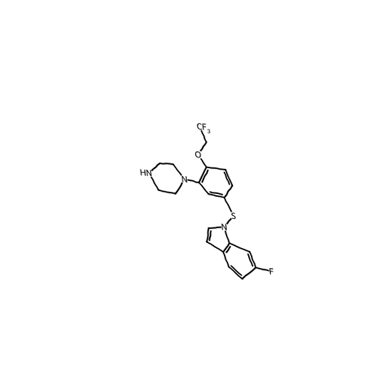 Fc1ccc2ccn(Sc3ccc(OCC(F)(F)F)c(N4CCNCC4)c3)c2c1